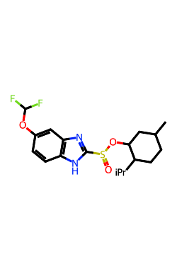 CC1CCC(C(C)C)C(OS(=O)c2nc3cc(OC(F)F)ccc3[nH]2)C1